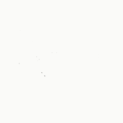 O=S(=O)(Nc1cccc(Cl)c1)C1CC1